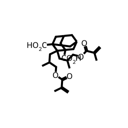 C=C(C)C(=O)OCC(C)CC1(CC(C)COC(=O)C(=C)C)C2(C(=O)O)CC3CC(C2)CC1(C(=O)O)C3